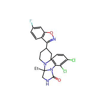 CCC1(N2CCC(c3noc4cc(F)ccc34)CC2)CNC(=O)N1c1cccc(Cl)c1Cl